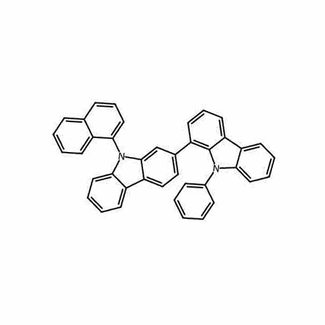 c1ccc(-n2c3ccccc3c3cccc(-c4ccc5c6ccccc6n(-c6cccc7ccccc67)c5c4)c32)cc1